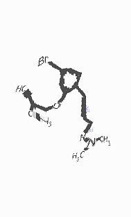 C#CC(C)Oc1cc(Br)ccc1/C=C/C=N/N(C)C